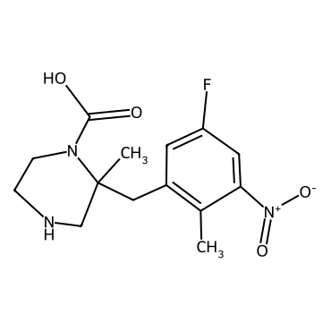 Cc1c(CC2(C)CNCCN2C(=O)O)cc(F)cc1[N+](=O)[O-]